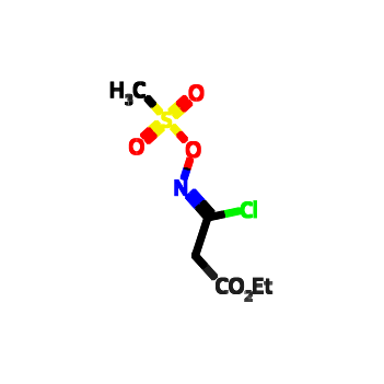 CCOC(=O)C/C(Cl)=N/OS(C)(=O)=O